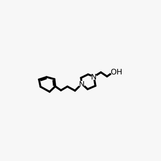 OCCN1CCN(CCCC2=CC=CCC2)CC1